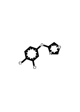 Clc1ccc(Oc2co[c]n2)cc1Cl